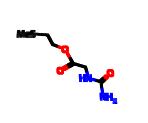 CSCCOC(=O)CNC(N)=O